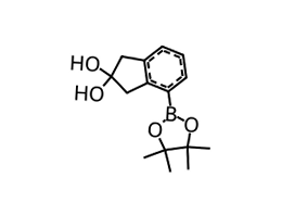 CC1(C)OB(c2cccc3c2CC(O)(O)C3)OC1(C)C